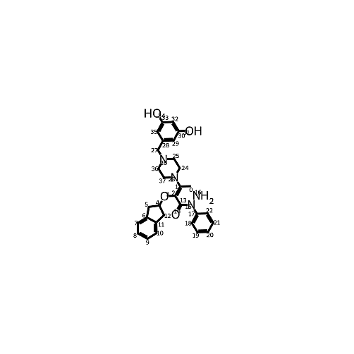 C/C(=C(/OC1Cc2ccccc2C1)C(=O)N(N)c1ccccc1)N1CCN(Cc2cc(O)cc(O)c2)CC1